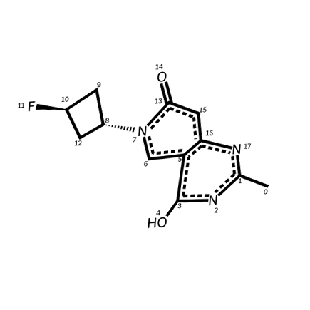 Cc1nc(O)c2cn([C@H]3C[C@H](F)C3)c(=O)cc2n1